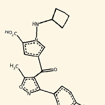 Cc1onc(-c2ccc(F)cc2)c1C(=O)c1cc(C(=O)O)n(NC2CCC2)c1